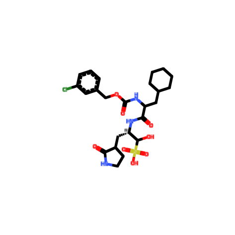 O=C(NC(CC1CCCCC1)C(=O)N[C@@H](CC1CCNC1=O)C(O)S(=O)(=O)O)OCc1cccc(Cl)c1